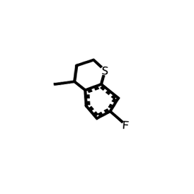 CC1CCSc2cc(F)ccc21